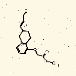 COC(=O)COc1cccc2c1CCC(/C=C/CO)C2